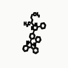 C/C=C\C=C(/C)c1nc(-c2ccccc2)cc(-c2ccc(-c3nc4ccccc4c4c5ccccc5n(-c5ccccc5)c34)cc2)n1